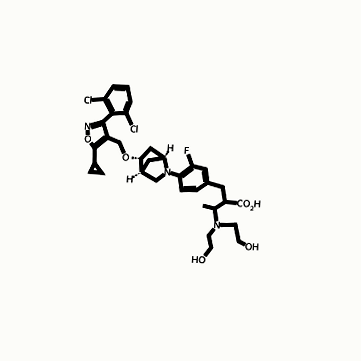 CC(C(Cc1ccc(N2C[C@@H]3C[C@H]2C[C@H]3OCc2c(-c3c(Cl)cccc3Cl)noc2C2CC2)c(F)c1)C(=O)O)N(CCO)CCO